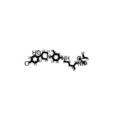 Cc1cc(NCCCC(C)CNS(=O)(=O)C(C)C)ccc1N1CCC(O)(c2ccc(Cl)cc2)CC1